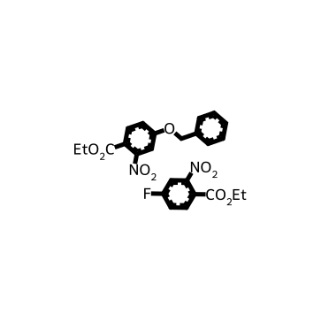 CCOC(=O)c1ccc(F)cc1[N+](=O)[O-].CCOC(=O)c1ccc(OCc2ccccc2)cc1[N+](=O)[O-]